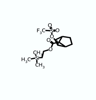 C[Si](C)(C)CCOC(=O)C1C2C=C(OS(=O)(=O)C(F)(F)F)C1CC2